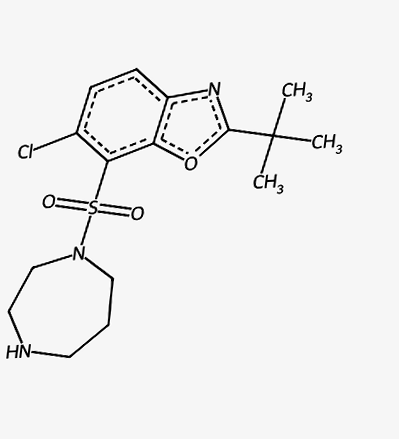 CC(C)(C)c1nc2ccc(Cl)c(S(=O)(=O)N3CCCNCC3)c2o1